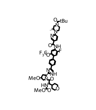 COC(=O)N[C@H](C(=O)N1C[C@@H](OC)C[C@H]1c1nc(-c2ccc(-c3cc(F)c(NC(=O)c4ccc(N5CCN(C(=O)C(C)(C)C)C[C@H]5C)nc4)cc3OC(F)(F)F)cc2)c[nH]1)C1CCOCC1